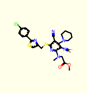 [C-]#[N+]c1c(N(C)CC(=O)OC)nc(SCc2csc(-c3ccc(Cl)cc3)n2)c(C#N)c1N1CCCCC1